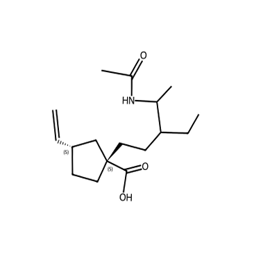 C=C[C@H]1CC[C@@](CCC(CC)C(C)NC(C)=O)(C(=O)O)C1